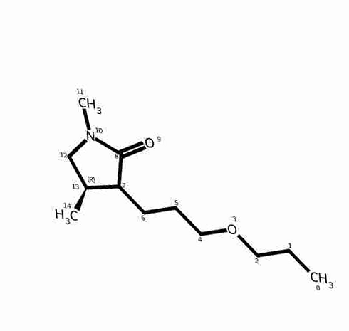 CCCOCCCC1C(=O)N(C)C[C@@H]1C